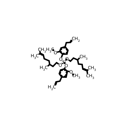 C=CCc1ccc(O[Si](OCCC(C)CCC=C(C)C)(OCCC(C)CCC=C(C)C)Oc2ccc(CC=C)cc2OC)c(OC)c1